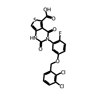 O=C(O)c1scc2[nH]c(=O)n(-c3cc(OCc4cccc(Cl)c4Cl)ccc3F)c(=O)c12